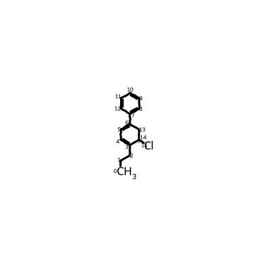 CCCC1=CC=C(c2ccccc2)C[C]1Cl